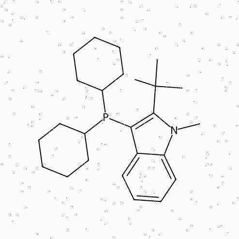 Cn1c(C(C)(C)C)c(P(C2CCCCC2)C2CCCCC2)c2ccccc21